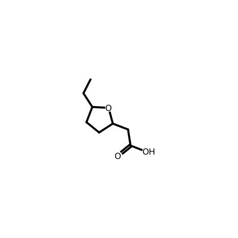 CCC1CCC(CC(=O)O)O1